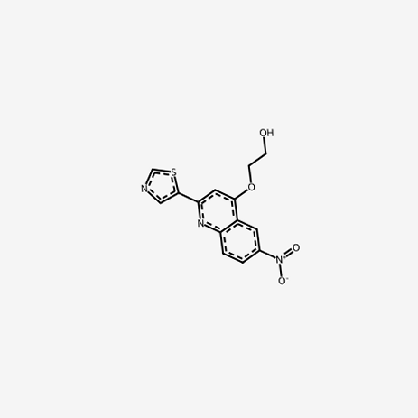 O=[N+]([O-])c1ccc2nc(-c3cncs3)cc(OCCO)c2c1